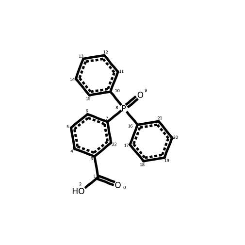 O=C(O)c1cccc(P(=O)(c2ccccc2)c2ccccc2)c1